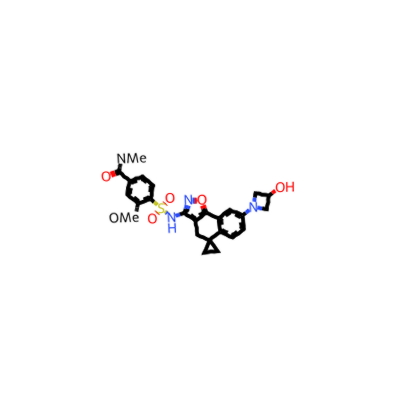 CNC(=O)c1ccc(S(=O)(=O)Nc2noc3c2CC2(CC2)c2ccc(N4CC(O)C4)cc2-3)c(OC)c1